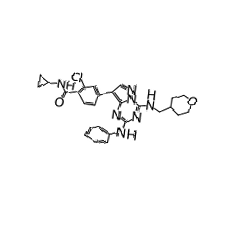 O=C(NC1CC1)c1ccc(-c2cnn3c(NCC4CCOCC4)nc(Nc4ccccc4)nc23)cc1Cl